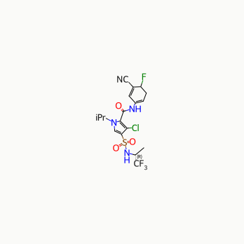 CC(C)n1cc(S(=O)(=O)N[C@H](C)C(F)(F)F)c(Cl)c1C(=O)NC1=CCC(F)C(C#N)=C1